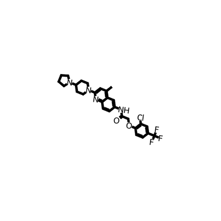 Cc1cc(N2CCC(N3CCCC3)CC2)nc2ccc(NC(=O)COc3ccc(C(F)(F)F)cc3Cl)cc12